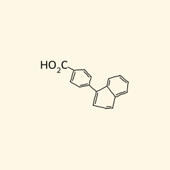 O=C(O)c1ccc(-c2cccc3ccccc23)cc1